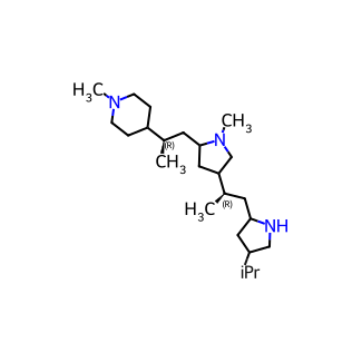 CC(C)C1CNC(C[C@@H](C)C2CC(C[C@@H](C)C3CCN(C)CC3)N(C)C2)C1